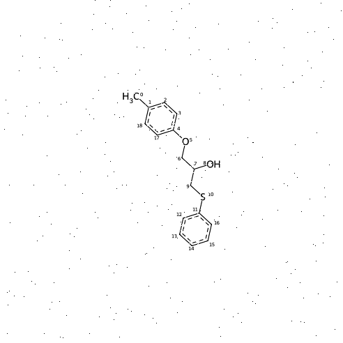 Cc1ccc(OCC(O)CSc2ccccc2)cc1